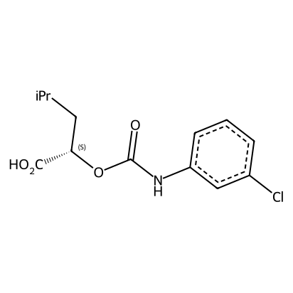 CC(C)C[C@H](OC(=O)Nc1cccc(Cl)c1)C(=O)O